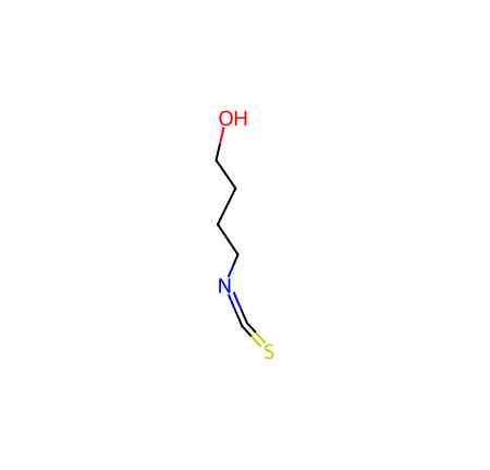 OCCCCN=C=S